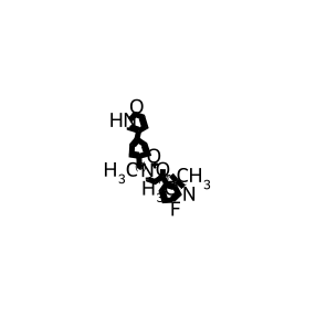 C[C@@H](c1ccc(-c2ccc(=O)[nH]c2)cc1)N1CC[C@](CC(C)(C)C#N)(c2ccc(F)cc2)OC1=O